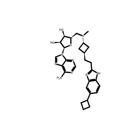 CN(C[C@H]1O[C@@H](n2cnc3c(N)ncnc32)[C@@H](O)[C@H]1O)[C@H]1C[C@H](CCc2nc3cc(C4CCC4)ccc3[nH]2)C1